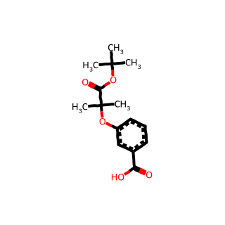 CC(C)(C)OC(=O)C(C)(C)Oc1cccc(C(=O)O)c1